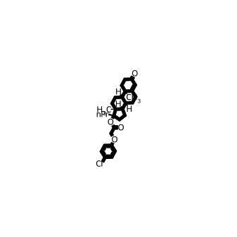 CCC[C@]1(OC(=O)COc2ccc(Cl)cc2)CC[C@H]2[C@@H]3CCC4=CC(=O)CC[C@]4(C)[C@H]3CC[C@@]21C